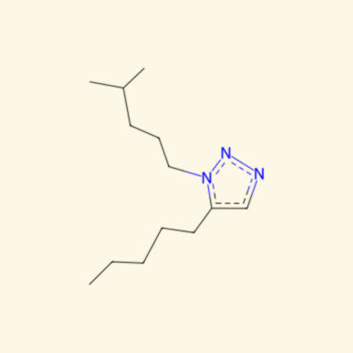 CCCCCc1cnnn1CCCC(C)C